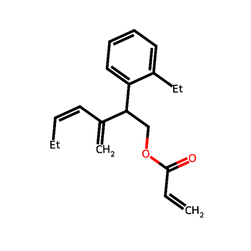 C=CC(=O)OCC(C(=C)/C=C\CC)c1ccccc1CC